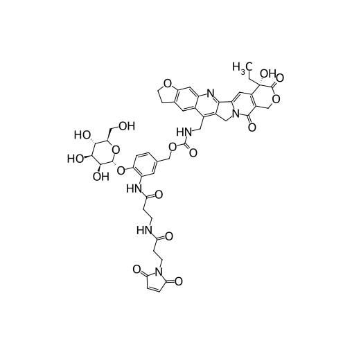 CC[C@@]1(O)C(=O)OCc2c1cc1n(c2=O)Cc2c-1nc1cc3c(cc1c2CNC(=O)OCc1ccc(O[C@H]2O[C@H](CO)[C@@H](O)[C@H](O)[C@@H]2O)c(NC(=O)CCNC(=O)CCN2C(=O)C=CC2=O)c1)CCO3